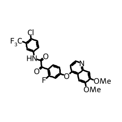 COc1cc2nccc(Oc3ccc(C(=O)C(=O)Nc4ccc(Cl)c(C(F)(F)F)c4)c(F)c3)c2cc1OC